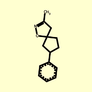 CC1=NOC2(CCC(c3ccccc3)C2)C1